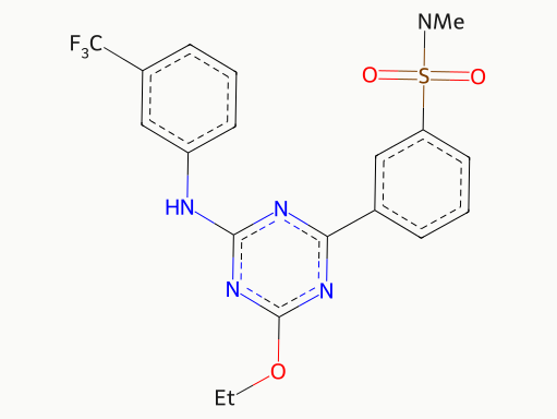 CCOc1nc(Nc2cccc(C(F)(F)F)c2)nc(-c2cccc(S(=O)(=O)NC)c2)n1